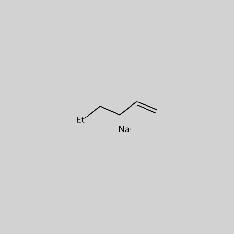 C=CCCCC.[Na]